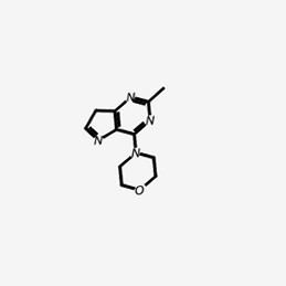 Cc1nc2c(c(N3CCOCC3)n1)N=CC2